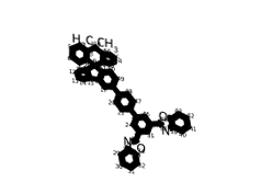 CC1(C)c2ccccc2C2(c3ccccc3-c3cc(-c4ccc(-c5cc(-c6nc7ccccc7o6)cc(-c6nc7ccccc7o6)c5)cc4)ccc32)c2ccccc21